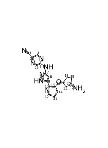 N#Cc1cnc(Nc2cc(-c3ncccc3O[C@@H]3CC[C@@H](N)C3)[nH]n2)cn1